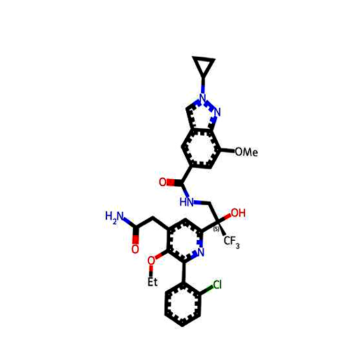 CCOc1c(CC(N)=O)cc([C@@](O)(CNC(=O)c2cc(OC)c3nn(C4CC4)cc3c2)C(F)(F)F)nc1-c1ccccc1Cl